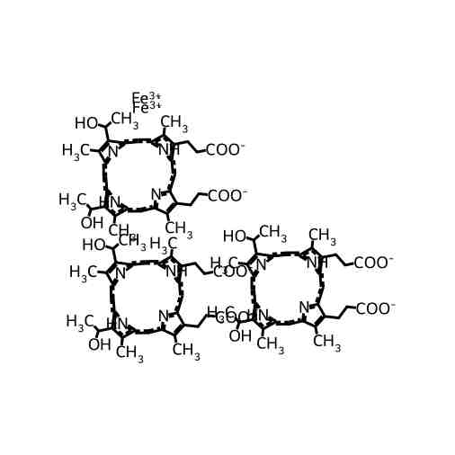 CC1=C(CCC(=O)[O-])c2cc3[nH]c(cc4nc(cc5[nH]c(cc1n2)c(C)c5C(C)O)C(C)=C4C(C)O)c(C)c3CCC(=O)[O-].CC1=C(CCC(=O)[O-])c2cc3[nH]c(cc4nc(cc5[nH]c(cc1n2)c(C)c5C(C)O)C(C)=C4C(C)O)c(C)c3CCC(=O)[O-].CC1=C(CCC(=O)[O-])c2cc3[nH]c(cc4nc(cc5[nH]c(cc1n2)c(C)c5C(C)O)C(C)=C4C(C)O)c(C)c3CCC(=O)[O-].[Fe+3].[Fe+3]